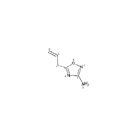 C=CCc1nc(N)no1